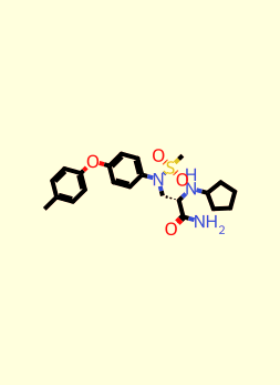 Cc1ccc(Oc2ccc(N(C[C@H](NC3CCCC3)C(N)=O)S(C)(=O)=O)cc2)cc1